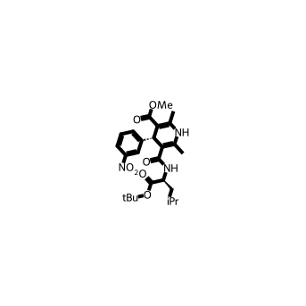 COC(=O)C1=C(C)NC(C)=C(C(=O)N[C@@H](CC(C)C)C(=O)OC(C)(C)C)[C@@H]1c1cccc([N+](=O)[O-])c1